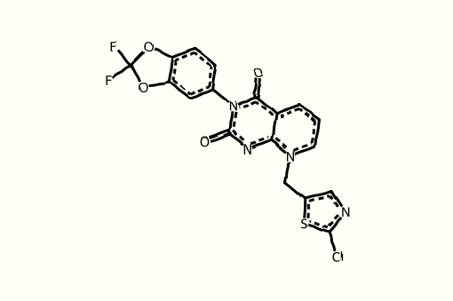 O=c1nc2n(Cc3cnc(Cl)s3)cccc-2c(=O)n1-c1ccc2c(c1)OC(F)(F)O2